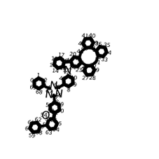 c1ccc(-c2nc(-c3cccc(-n4c5ccccc5c5cc6c(cc54)-c4ccccc4Cc4ccccc4-c4ccccc4C6)c3)nc(-c3ccc4c(c3)oc3c(-c5ccccc5)cccc34)n2)cc1